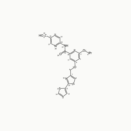 CC(C)Oc1cc(OCc2csc(-c3cccs3)n2)cc(C(=O)Nc2ccc(C(=O)O)cn2)c1